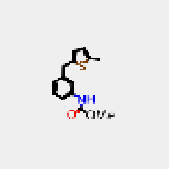 COC(=O)Nc1cccc(Cc2ccc(C)s2)c1